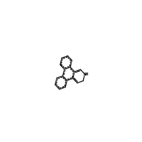 C1=c2c(c3ccccc3c3ccccc23)=CNC1